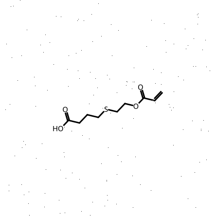 C=CC(=O)OCCSCCCC(=O)O